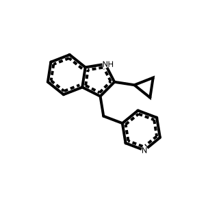 c1cncc(Cc2c(C3CC3)[nH]c3ccccc23)c1